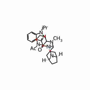 CC(=O)N1CCCC(N(C)CCN2[C@@H]3CC[C@H]2C[C@H](NC(=O)c2nn(C(C)C)c4ccccc24)C3)C1